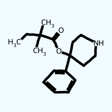 CCC(C)(C)C(=O)OC1(c2ccccc2)CCNCC1